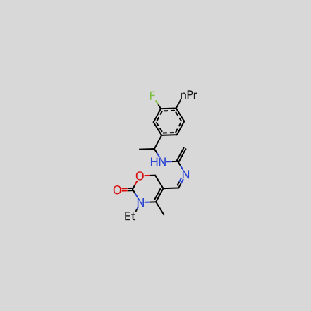 C=C(/N=C\C1=C(C)N(CC)C(=O)OC1)NC(C)c1ccc(CCC)c(F)c1